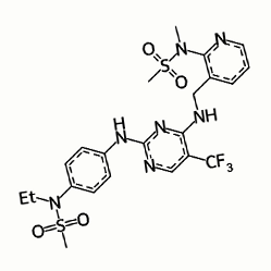 CCN(c1ccc(Nc2ncc(C(F)(F)F)c(NCc3cccnc3N(C)S(C)(=O)=O)n2)cc1)S(C)(=O)=O